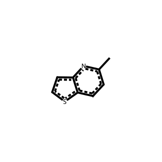 Cc1c[c]c2sccc2n1